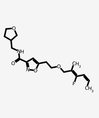 C/C=C\C(F)=C(/C)COCCc1cc(C(=O)NCC2CCOC2)no1